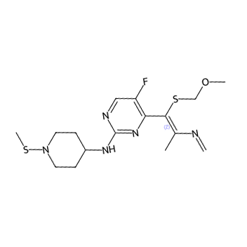 C=N/C(C)=C(\SCOC)c1nc(NC2CCN(SC)CC2)ncc1F